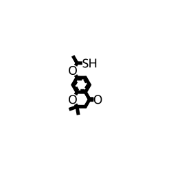 CC(S)Oc1ccc2c(c1)OC(C)(C)CC2=O